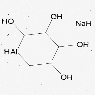 OC1[CH2][AlH][CH](O)C(O)C1O.[NaH]